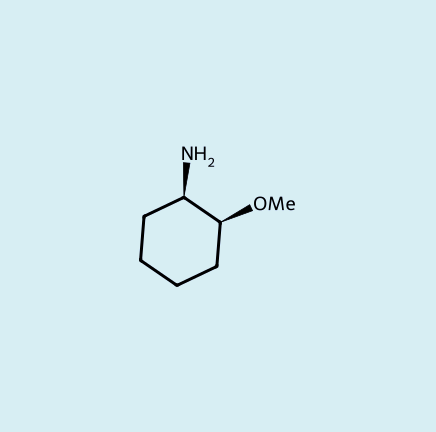 CO[C@H]1CCCC[C@H]1N